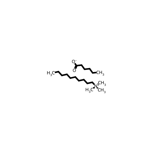 CCCCCC(=O)[O-].CCCCCCCCCC[N+](C)(C)C